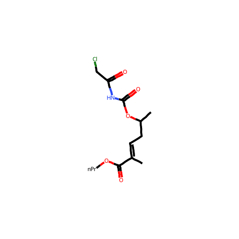 CCCOC(=O)C(C)=CCC(C)OC(=O)NC(=O)CCl